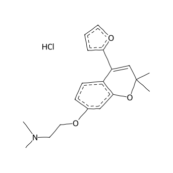 CN(C)CCOc1ccc2c(c1)OC(C)(C)C=C2c1ccco1.Cl